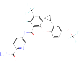 NC(=O)c1ccc(NC(=O)c2c(Oc3ccc(OC(F)(F)F)cc3C3CC3)ccc(C(F)(F)F)c2F)cn1